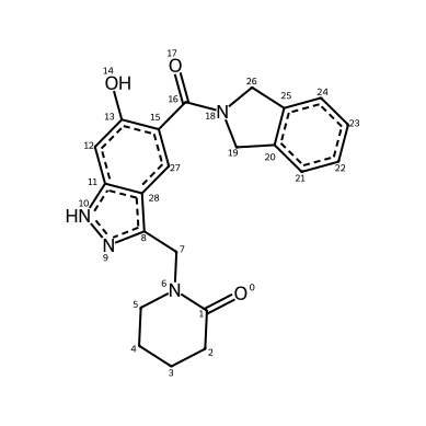 O=C1CCCCN1Cc1n[nH]c2cc(O)c(C(=O)N3Cc4ccccc4C3)cc12